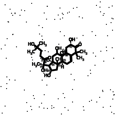 CC(C)(O)CCC(=O)[C@](C)(O)C1[C@H](O)C[C@@]2(C)[C@@H]3CC=C4[C@@H](C[C@H](O)C(=O)C4(C)C)[C@]3(C)C(O)C[C@]12C